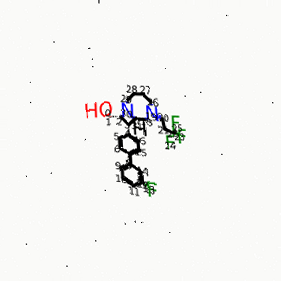 OC[C@H]1[C@@H](c2ccc(-c3cccc(F)c3)cc2)[C@@H]2CN(CCC(F)(F)F)CCCCN12